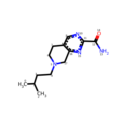 CC(C)CCN1CCc2[c]nc(C(N)=O)nc2C1